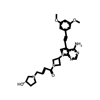 COc1cc(C#Cc2cn(C3CN(C(=O)C=CCN4CC[C@H](O)C4)C3)c3ncnc(N)c23)cc(OC)c1